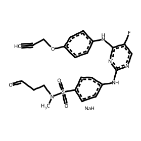 C#CCOc1ccc(Nc2nc(Nc3ccc(S(=O)(=O)N(C)CCC=O)cc3)ncc2F)cc1.[NaH]